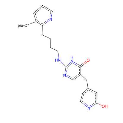 COc1cccnc1CCCCNc1ncc(Cc2ccnc(O)c2)c(=O)[nH]1